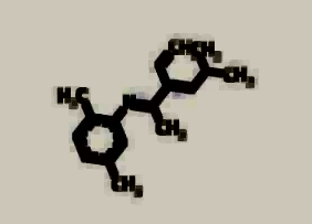 C=CC(=C\C(C)C)/C(C)=N/c1cc(C)ccc1C